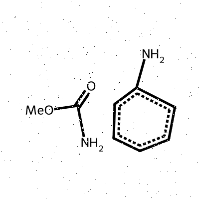 COC(N)=O.Nc1ccccc1